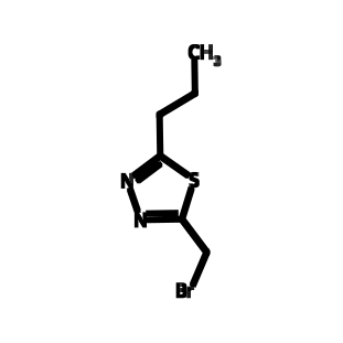 CCCc1nnc(CBr)s1